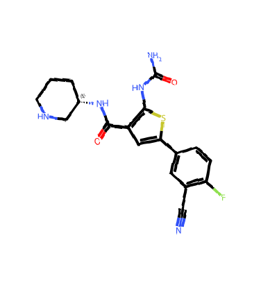 N#Cc1cc(-c2cc(C(=O)N[C@H]3CCCNC3)c(NC(N)=O)s2)ccc1F